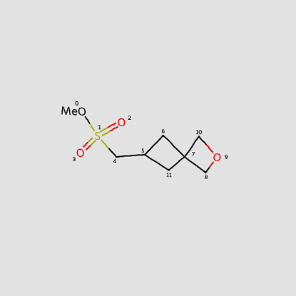 COS(=O)(=O)CC1CC2(COC2)C1